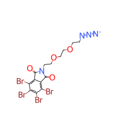 [N-]=[N+]=NCCOCCOCCN1C(=O)c2c(Br)c(Br)c(Br)c(Br)c2C1=O